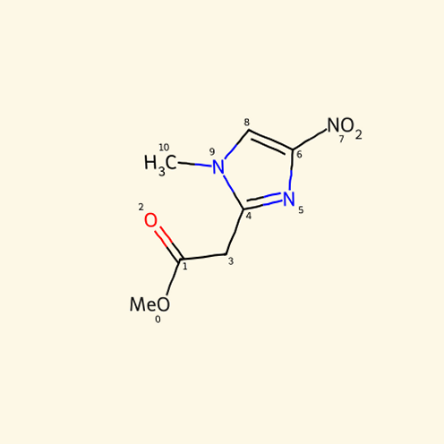 COC(=O)Cc1nc([N+](=O)[O-])cn1C